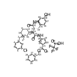 C[N+]1(Cc2cccc(Cl)c2)CCC/C(=[N+](/C(=O)Nc2ccc(C(=O)OCc3ccccc3)s2)[C@@H](Cc2ccc(O)cc2)C(N)=O)C1.O=C(O)C(F)(F)F